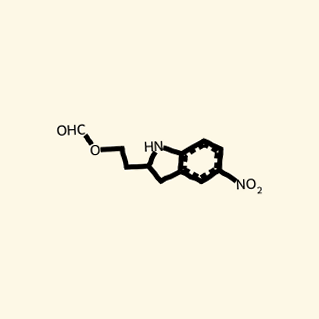 O=COCCC1Cc2cc([N+](=O)[O-])ccc2N1